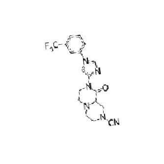 N#CN1CCN2CCN(c3cn(-c4cccc(C(F)(F)F)c4)cn3)C(=O)C2C1